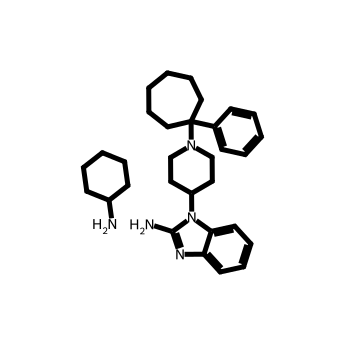 NC1CCCCC1.Nc1nc2ccccc2n1C1CCN(C2(c3ccccc3)CCCCCC2)CC1